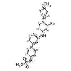 CN1CC2CC1CN2c1ccc(Nc2nccc(-c3ccc(NS(C)(=O)=O)nc3)n2)cc1F